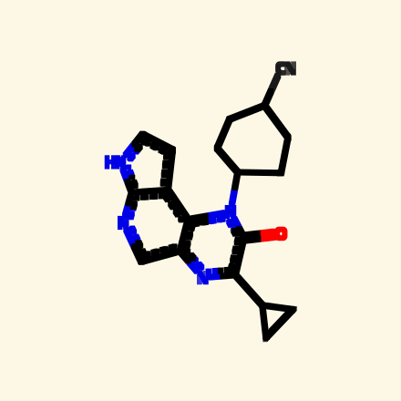 N#CC1CCC(n2c(=O)c(C3CC3)nc3cnc4[nH]ccc4c32)CC1